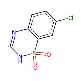 O=S1(=O)N[C]=Nc2ccc(Cl)cc21